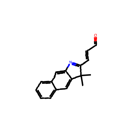 CC1(C)C(C=CC=O)=Nc2cc3ccccc3cc21